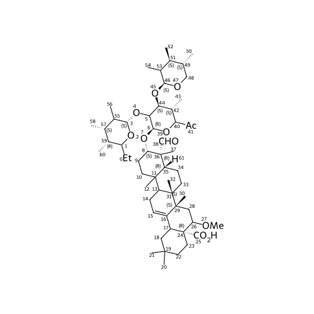 CCC1O[C@@H](OC2[C@H](O[C@H]3CCC4(C)C5CC=C6C7CC(C)(C)CC[C@]7(C(=O)O)C(OC)C[C@@]6(C)[C@@]5(C)CC[C@H]4[C@@]3(C)C=O)OC(C(C)=O)[C@@H](C)[C@@H]2O[C@@H]2OC[C@@H](C)[C@H](C)C2C)C(C)[C@@H](C)[C@H]1C